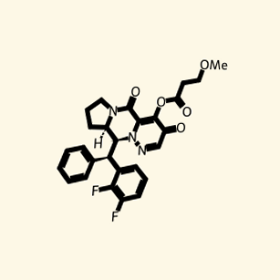 COCCC(=O)Oc1c2n(ncc1=O)[C@@H]([C@H](c1ccccc1)c1cccc(F)c1F)[C@H]1CCCN1C2=O